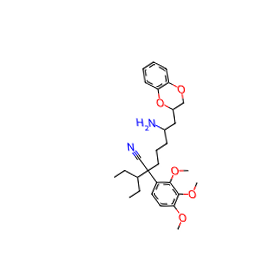 CCC(CC)C(C#N)(CCCC(N)CC1COc2ccccc2O1)c1ccc(OC)c(OC)c1OC